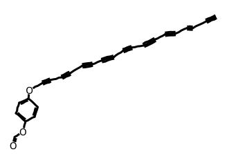 C#CC#CC#CC#CC#CC#CC#CC#CC#COc1ccc(OC=O)cc1